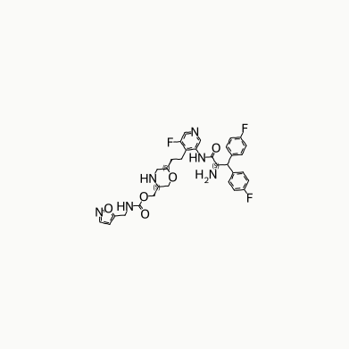 N[C@H](C(=O)Nc1cncc(F)c1CC[C@@H]1CN[C@H](COC(=O)NCc2ccno2)CO1)C(c1ccc(F)cc1)c1ccc(F)cc1